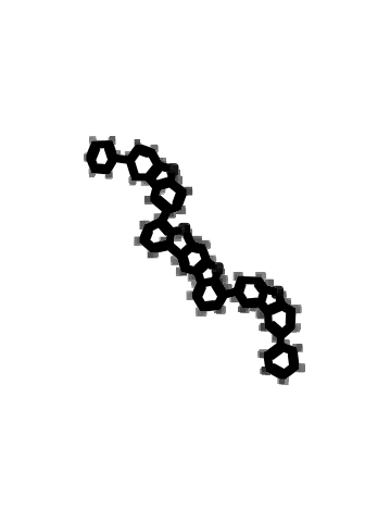 C1=CC(c2ccccc2)Cc2c1oc1ccc(-c3cccc4c3oc3cc5oc6c(-c7ccc8oc9ccc(-c%10ccccc%10)cc9c8c7)cccc6c5cc34)cc21